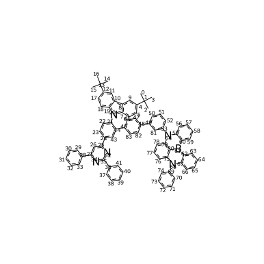 CC(C)(C)c1ccc2c(c1)c1cc(C(C)(C)C)ccc1n2-c1ccc(-c2cc(-c3ccccc3)nc(-c3ccccc3)n2)cc1-c1ccc(-c2cccc(N3c4ccccc4B4c5ccccc5N(c5ccccc5)c5cccc3c54)c2)cc1